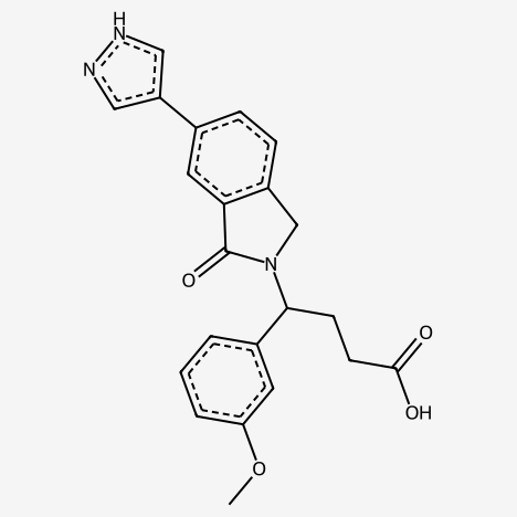 COc1cccc(C(CCC(=O)O)N2Cc3ccc(-c4cn[nH]c4)cc3C2=O)c1